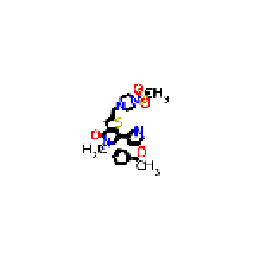 CC(Oc1cncc(-c2cn(C)c(=O)c3cc(CN4CCN(S(C)(=O)=O)CC4)sc23)c1)c1ccccc1